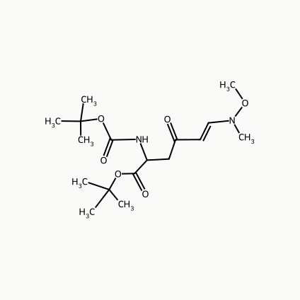 CON(C)C=CC(=O)CC(NC(=O)OC(C)(C)C)C(=O)OC(C)(C)C